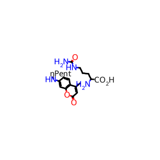 CCCCCNc1ccc2c(C)cc(=O)oc2c1.NC(=O)NCCCC(N)C(=O)O